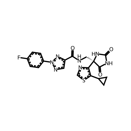 O=C1NC(=O)[C@@](CNC(=O)c2cnn(-c3ccc(F)cc3)n2)(c2ncsc2C2CC2)N1